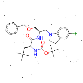 CC(C)(C)C[C@H](NC(=O)OC(C)(C)C)C(=O)N[C@@H](COCc1ccccc1)CN1CCc2cc(F)ccc21